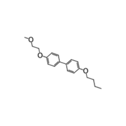 CCCCOc1ccc(-c2ccc(OCCOC)cc2)cc1